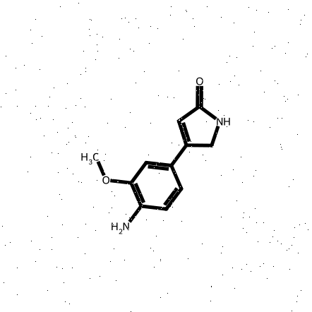 COc1cc(C2=CC(=O)NC2)ccc1N